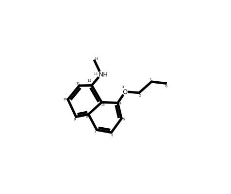 CCCOc1cccc2cccc(NC)c12